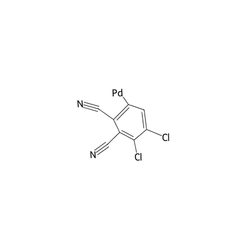 N#Cc1[c]([Pd])cc(Cl)c(Cl)c1C#N